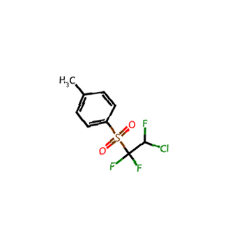 Cc1ccc(S(=O)(=O)C(F)(F)C(F)Cl)cc1